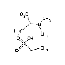 CC(C(=O)O)N(C)C.CCS(=O)(=O)O